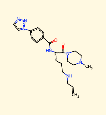 C=CCNCCC[C@H](NC(=O)c1ccc(-n2ccnn2)cc1)C(=O)N1CCN(C)CC1